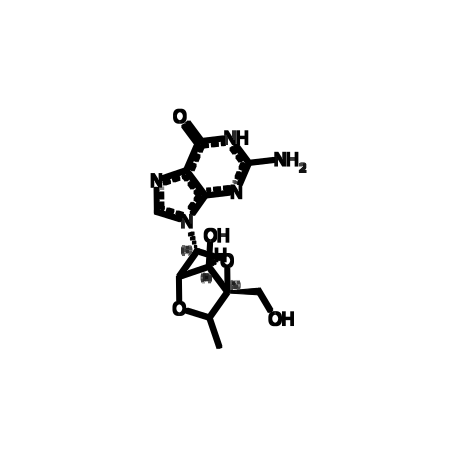 CC1OC2[C@H](n3cnc4c(=O)[nH]c(N)nc43)O[C@@]1(CO)[C@@H]2O